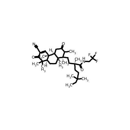 CCC(C)(C)CC[C@@](C)(CC[C@]1(C)C(C)C(=O)C[C@@H]2[C@@]3(C)C=C(C#N)C(=O)C(C)(C)[C@@H]3CC[C@]21C)C(=O)NCC(F)(F)F